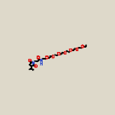 CCOCCOCCOCCOCCOCCOCCOCCNC(=O)CCN1C(=O)CC(C(C)C)C1=O